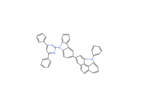 c1ccc(-c2cc(-c3ccccc3)nc(-n3c4ccccc4c4cc(-c5cc6ccc7cccc8c7c6c(c5)n8-c5ccccc5)ccc43)n2)cc1